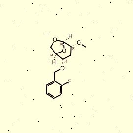 CO[C@@H]1C[C@H](OCc2ccccc2F)[C@H]2CO[C@@H]1O2